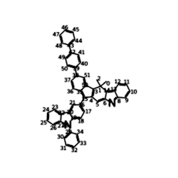 CC1(C)C2=C(C=C3N=c4ccccc4=C31)C(c1ccc3c(c1)c1ccccc1n3-c1ccccc1)=C1C=CC(c3ccc(-c4ccccc4)cc3)C=C12